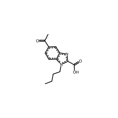 CCCCn1c(C(=O)O)nc2cc(C(C)=O)ccc21